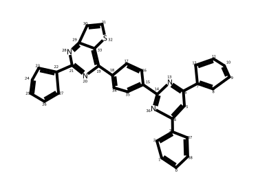 c1ccc(-c2cc(-c3ccccc3)nc(-c3ccc(-c4nc(-c5ccccc5)nc5ccsc45)cc3)n2)cc1